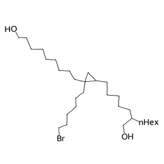 CCCCCCC(CO)CCCCCC1CC1(CCCCCCBr)CCCCCCCCCO